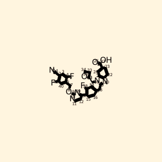 N#Cc1cc(F)c(COc2nccc(-c3ccc(Cc4nc5ccc(C(=O)O)cc5n4C[C@@H]4CCO4)cc3F)n2)cc1F